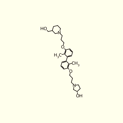 Cc1c(OCCCN2CCCC(CO)C2)cccc1-c1cccc(OCCCN2CC[C@@H](O)C2)c1C